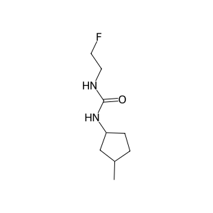 CC1CCC(NC(=O)NCCF)C1